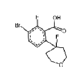 O=C(O)c1c(C2(F)CCOCC2)ccc(Br)c1F